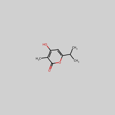 Cc1c(O)cc(C(C)C)oc1=O